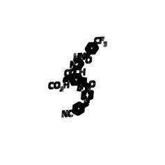 Cn1c(C(=O)N2CCN(Cc3ccc(C#N)cc3)CC2)cc2cc(Oc3ccc(NC(=O)c4ccc(C(F)(F)F)cc4)cn3)ccc21.O=C(O)C=CC(=O)O